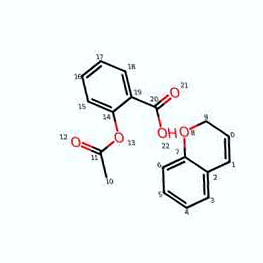 C1=Cc2ccccc2OC1.CC(=O)Oc1ccccc1C(=O)O